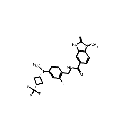 Cn1c(=O)[nH]c2cc(C(=O)NCc3ccc(N(C)[C@H]4C[C@@H](C(F)(F)F)C4)cc3F)ccc21